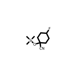 C[Si](C)(C)OC1(C#N)CCC(F)CC1